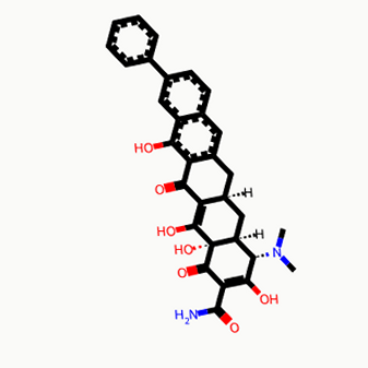 CN(C)[C@@H]1C(O)=C(C(N)=O)C(=O)[C@@]2(O)C(O)=C3C(=O)c4c(cc5ccc(-c6ccccc6)cc5c4O)C[C@H]3C[C@@H]12